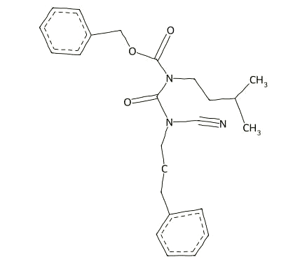 CC(C)CCN(C(=O)OCc1ccccc1)C(=O)N(C#N)CCCc1ccccc1